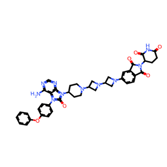 Nc1ncnc2c1n(-c1ccc(Oc3ccccc3)cc1)c(=O)n2C1CCN(C2CN(C3CN(c4ccc5c(c4)C(=O)N(C4CCC(=O)NC4=O)C5=O)C3)C2)CC1